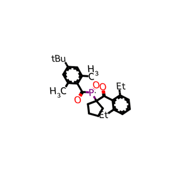 CCc1cccc(CC)c1C(=O)C1([P](=O)C(=O)c2c(C)cc(C(C)(C)C)cc2C)CCCC1